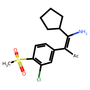 CC(=O)/C(=C(\N)C1CCCC1)c1ccc(S(C)(=O)=O)c(Cl)c1